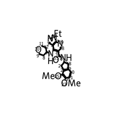 CCn1ncc2c(NC3CCOCC3)c(C(=O)NC3Cc4ccc(OC)c(OC)c4C3)cnc21